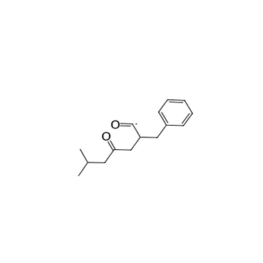 CC(C)CC(=O)CC([C]=O)Cc1ccccc1